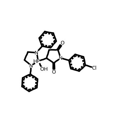 O=C1CC([PH]2(O)N(c3ccccc3)CCN2c2ccccc2)C(=O)N1c1ccc(Cl)cc1